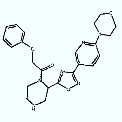 O=C(COc1ccccc1)N1CCNCC1c1nc(-c2ccc(N3CCOCC3)nc2)no1